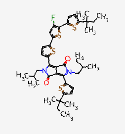 CCC(C)(C)c1ccc(C2=C3C(=O)N(CC(C)C)C(c4ccc(-c5cc(F)c(-c6ccc(C(C)(C)CC)s6)s5)s4)=C3C(=O)N2CC(C)C)s1